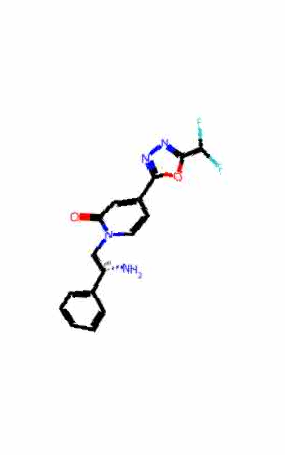 N[C@@H](Cn1ccc(-c2nnc(C(F)F)o2)cc1=O)c1ccccc1